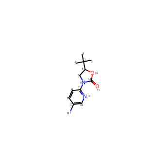 CC(C)(C)C1CN(c2ccc(I)cn2)C(=O)O1